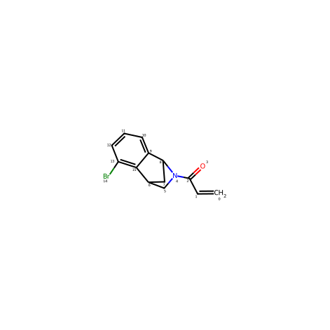 C=CC(=O)N1CC2CC1c1cccc(Br)c12